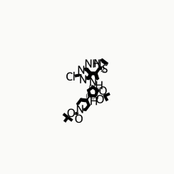 CC(C)(C)OC(=O)N1CC=C([C@H]2C[C@@H](n3cc(-c4nccs4)c4c(N)nc(Cl)nc43)[C@@H]3OC(C)(C)O[C@@H]32)CC1